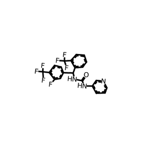 O=C(Nc1cccnc1)NC(c1ccc(C(F)(F)F)c(F)c1)c1ccccc1C(F)(F)F